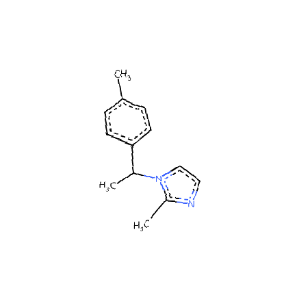 Cc1ccc(C(C)n2ccnc2C)cc1